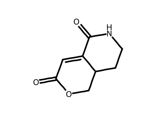 O=C1C=C2C(=O)NCCC2CO1